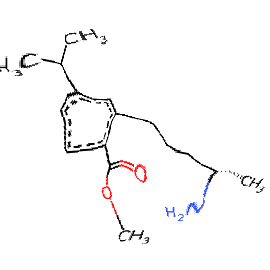 COC(=O)c1ccc(C(C)C)cc1CCC[C@H](C)N